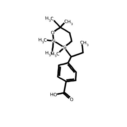 CCC(c1ccc(C(=O)O)cc1)[Si]1(C)CCC(C)(C)O[Si]1(C)C